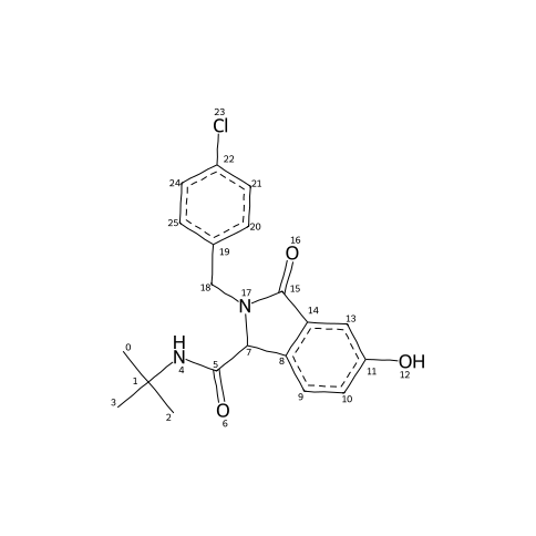 CC(C)(C)NC(=O)C1c2ccc(O)cc2C(=O)N1Cc1ccc(Cl)cc1